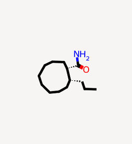 CCC[C@@H]1CCCCCCCC[C@@H]1C(N)=O